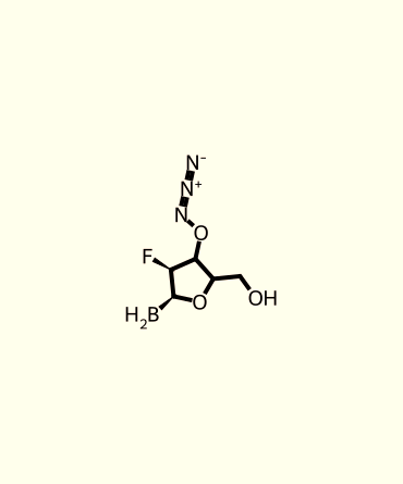 B[C@@H]1OC(CO)C(ON=[N+]=[N-])[C@@H]1F